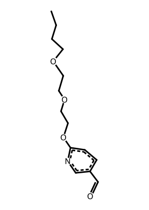 CCCCOCCOCCOc1ccc(C=O)cn1